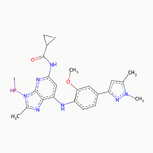 COc1cc(-c2cc(C)n(C)n2)ccc1Nc1cc(NC(=O)C2CC2)nc2c1nc(C)n2PI